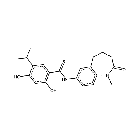 CC(C)c1cc(C(=S)Nc2ccc3c(c2)CCCC(=O)N3C)c(O)cc1O